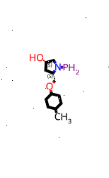 CC1CCC(OC[C@@H]2C[C@H](O)CN2P)CC1